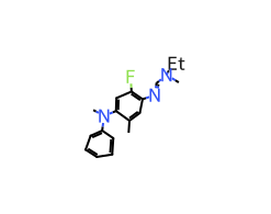 CCN(C)/C=N/c1cc(C)c(N(C)c2ccccc2)cc1F